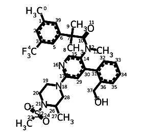 Cc1cc(C(F)(F)F)cc(C(C)(C)C(=O)N(C)c2cnc(N3CCN(S(C)(=O)=O)C(C)C3)cc2-c2ccccc2CO)c1